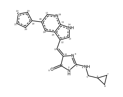 O=C1NC(NCC2CC2)=N/C1=C\c1c[nH]c2ncc(-c3ccsc3)cc12